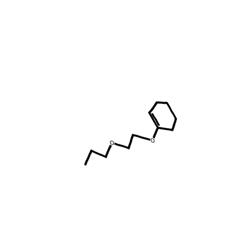 CCCOCCOC1=CCCCC1